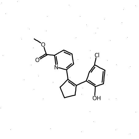 COC(=O)c1cccc(C2=C(c3cc(Cl)ccc3O)CCC2)n1